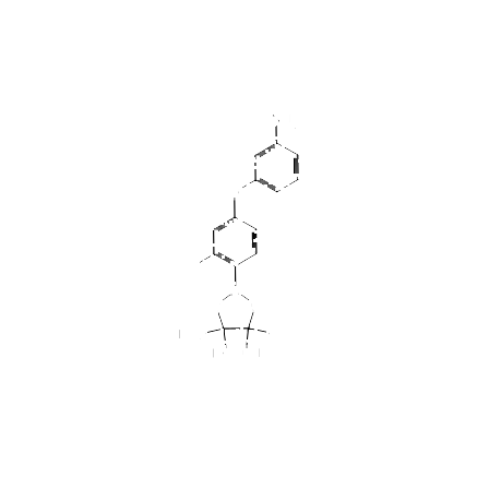 CC1(C)OB(c2ccc(Oc3cccc(N)c3)cc2F)OC1(C)C